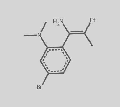 CC/C(C)=C(\N)c1ccc(Br)cc1N(C)C